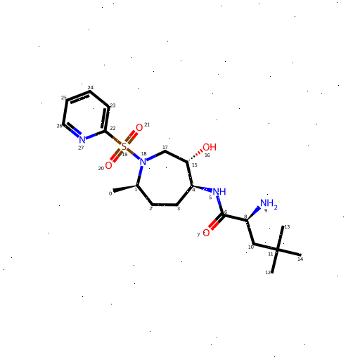 C[C@@H]1CC[C@H](NC(=O)[C@@H](N)CC(C)(C)C)[C@@H](O)CN1S(=O)(=O)c1ccccn1